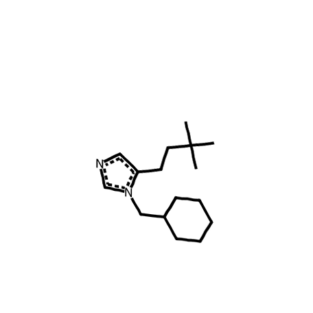 CC(C)(C)CCc1cncn1CC1CCCCC1